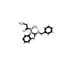 CN(C(=O)CN)N1c2ccccc2SC1OCc1ccccc1